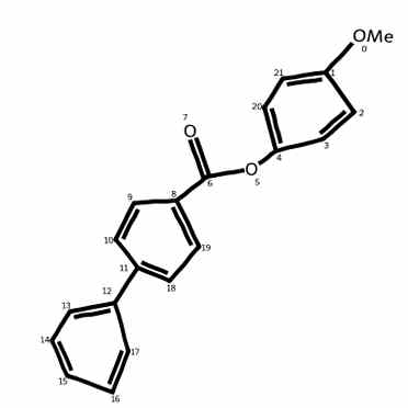 COc1ccc(OC(=O)c2ccc(-c3ccccc3)cc2)cc1